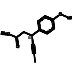 CC#C[C@@H](CC(=O)OC)c1ccc(OCCC)cc1